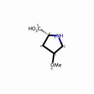 COC1CN[C@@H](C(=O)O)C1